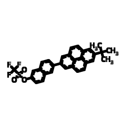 CC(C)(C)c1cc2ccc3cc(-c4ccc5cc(OS(=O)(=O)C(F)(F)F)ccc5c4)cc4ccc(c1)c2c34